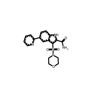 NC(=O)c1[nH]c2ccc(-c3ccccn3)cc2c1S(=O)(=O)N1CCOCC1